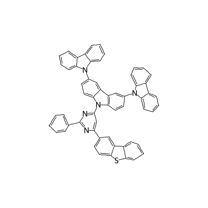 c1ccc(-c2nc(-c3ccc4sc5ccccc5c4c3)cc(-n3c4ccc(-n5c6ccccc6c6ccccc65)cc4c4cc(-n5c6ccccc6c6ccccc65)ccc43)n2)cc1